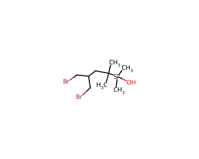 CC(C)(CC(CBr)CBr)[Si](C)(C)O